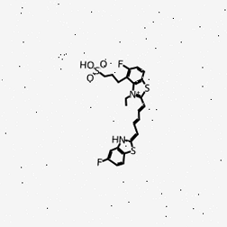 CC[n+]1c(C=CC=CC=C2Nc3cc(F)ccc3S2)sc2ccc(F)c(CCCS(=O)(=O)O)c21